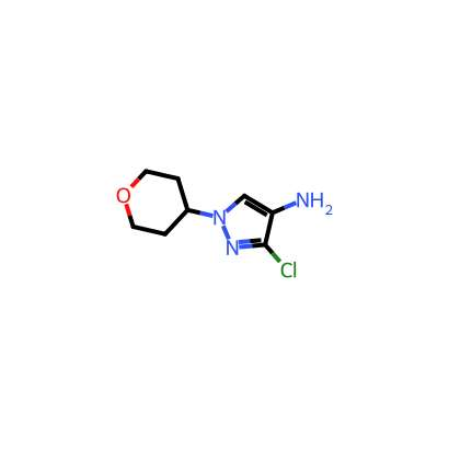 Nc1cn(C2CCOCC2)nc1Cl